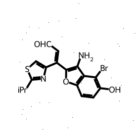 CC(C)c1nc(C(=CC=O)c2oc3ccc(O)c(Br)c3c2N)cs1